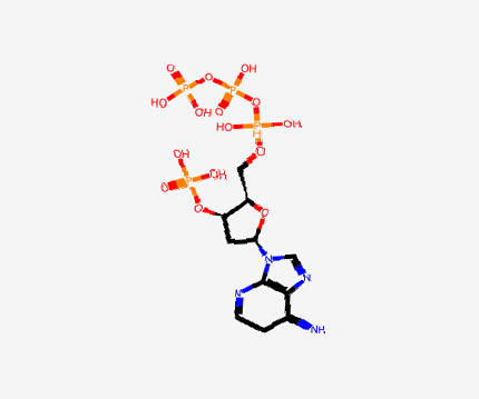 N=C1CC=Nc2c1ncn2[C@H]1C[C@@H](OP(=O)(O)O)[C@@H](CO[PH](O)(O)OP(=O)(O)OP(=O)(O)O)O1